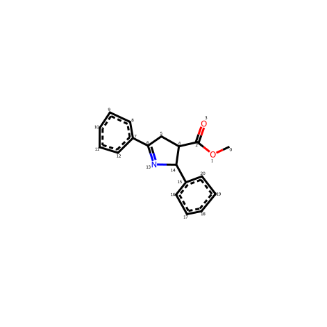 COC(=O)C1CC(c2ccccc2)=NC1c1ccccc1